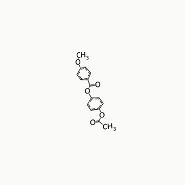 COc1ccc(C(=O)Oc2ccc(OC(C)=O)cc2)cc1